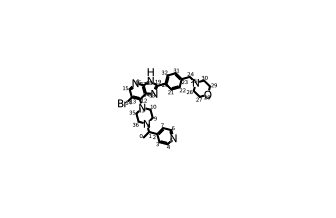 CC(c1ccncc1)N1CCN(c2c(Br)cnc3[nH]c(-c4ccc(CN5CCOCC5)cc4)nc23)CC1